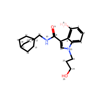 Bc1cccc2c1c(C(=O)NCC13CCC(CC1)CC3)cn2CCCO